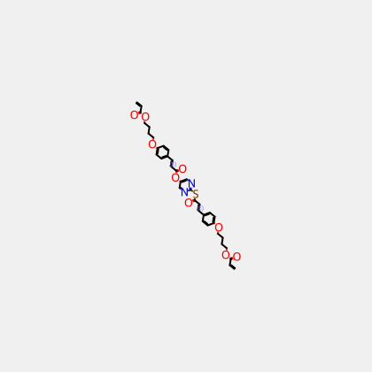 C=CC(=O)OCCCCOc1ccc(/C=C/C(=O)Oc2cnc(SC(=O)/C=C/c3ccc(OCCCCOC(=O)C=C)cc3)nc2)cc1